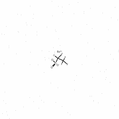 O=P([O-])([O-])C(F)(F)C(F)(F)F.[Ba+2]